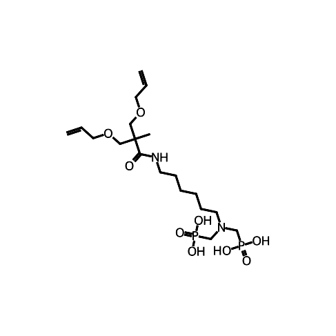 C=CCOCC(C)(COCC=C)C(=O)NCCCCCCN(CP(=O)(O)O)CP(=O)(O)O